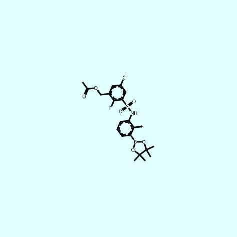 CC(=O)OCc1cc(Cl)cc(S(=O)(=O)Nc2cccc(B3OC(C)(C)C(C)(C)O3)c2F)c1F